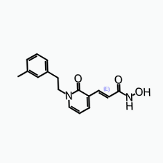 Cc1cccc(CCn2cccc(/C=C/C(=O)NO)c2=O)c1